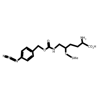 CSSC(CCC(N)C(=O)O)CNC(=O)OCc1ccc(N=[N+]=[N-])cc1